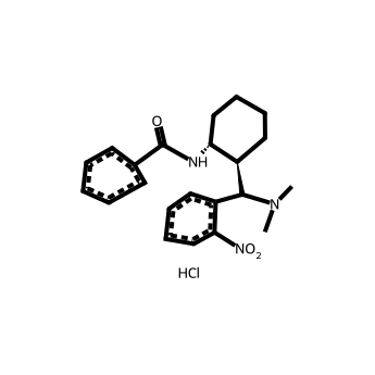 CN(C)C(c1ccccc1[N+](=O)[O-])[C@@H]1CCCC[C@H]1NC(=O)c1ccccc1.Cl